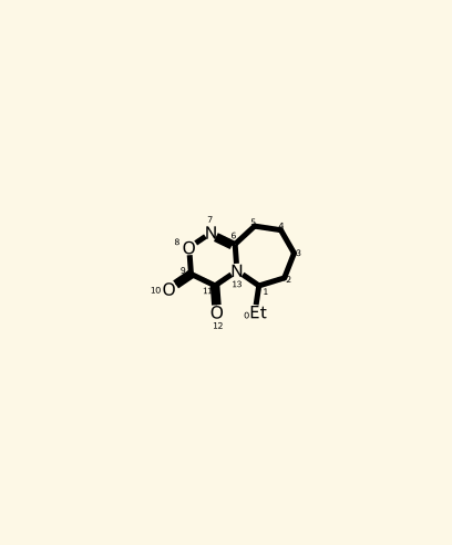 CCC1CCCCc2noc(=O)c(=O)n21